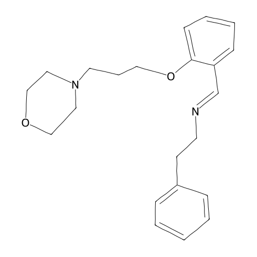 C(=NCCc1ccccc1)c1ccccc1OCCCN1CCOCC1